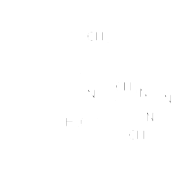 Cc1ccc2c(c1)c1cc(-c3ccccc3)ccc1n2-c1c(C)cc(C)c(-c2ncncn2)c1C